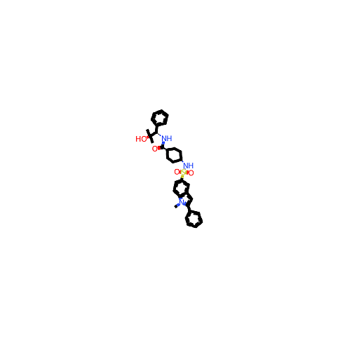 Cn1c(-c2ccccc2)cc2cc(S(=O)(=O)N[C@H]3CC[C@H](C(=O)N[C@@H](c4ccccc4)C(C)(C)O)CC3)ccc21